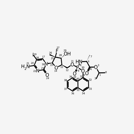 CC(C)OC(=O)[C@@H](C)NP(=O)(OC[C@H]1O[C@@H](n2cc(I)c(N)nc2=O)[C@](C)(F)[C@@H]1O)Oc1cccc2ccccc12